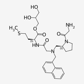 CSCC[C@H](NC(=O)CN(Cc1cccc2ccccc12)C[C@@H]1CCCN1C(=O)CN)C(=O)OCC(O)CO